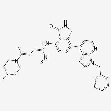 C=N/C(=C\C=C(/C)N1CCN(C)CC1)Nc1ccc(-c2ccnc3c2ccn3Cc2ccccc2)c2c1C(=O)NC2